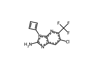 Nc1nc2cc(Cl)c(C(F)(F)F)nc2n1C1=CC=C1